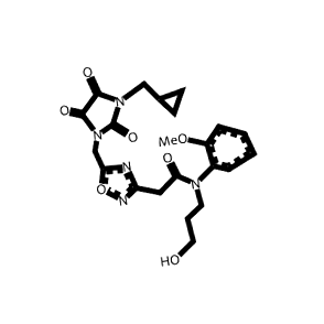 COc1ccccc1N(CCCO)C(=O)Cc1noc(CN2C(=O)C(=O)N(CC3CC3)C2=O)n1